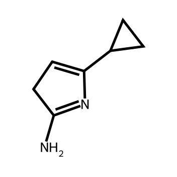 NC1=NC(C2CC2)=CC1